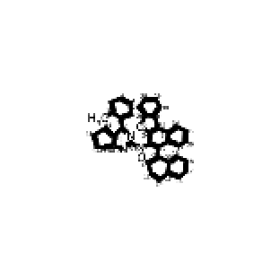 Cc1ccccc1-c1nc(N2Oc3ccc4ccccc4c3-c3c2c2oc4ccccc4c2c2ccccc32)nc2ccccc12